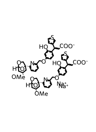 CO[C@@H]1C[C@@H]2OC[C@@](c3cccc(COc4ccc(C(=CC(=O)[O-])c5ccsc5)c(O)c4)n3)(C1)O2.CO[C@@H]1C[C@@H]2OC[C@@](c3cccc(COc4ccc(C(=CC(=O)[O-])c5ccsc5)c(O)c4)n3)(C1)O2.[Na+].[Na+]